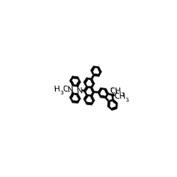 CN1c2ccccc2N(c2c3ccccc3c(-c3ccc4c(c3)-c3ccccc3C4(C)C)c3cc(-c4ccccc4)ccc23)c2ccccc21